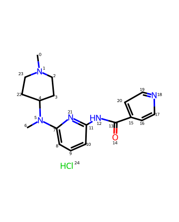 CN1CCC(N(C)c2cccc(NC(=O)c3ccncc3)n2)CC1.Cl